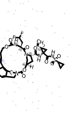 C=C[C@@H]1C[C@]1(NC(=O)[C@@H]1C[C@@H]2CN1C(=O)[C@H](CC(F)F)NC(=O)OCC/C=C/c1cccc3c1CN(C3)C(=O)O2)C(=O)NS(=O)(=O)C1CC1